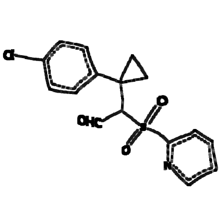 O=CC(C1(c2ccc(Cl)cc2)CC1)S(=O)(=O)c1ccccn1